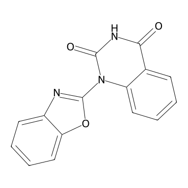 O=c1[nH]c(=O)n(-c2nc3ccccc3o2)c2ccccc12